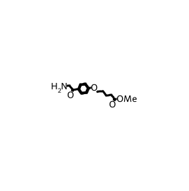 COC(=O)CCCCOc1ccc(C(=O)CN)cc1